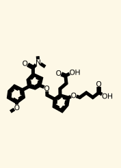 COc1cccc(-c2cc(OCc3cccc(OCCCC(=O)O)c3CCC(=O)O)cc(C(=O)N(C)C)c2)c1